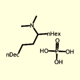 CCCCCCCCCCCCC(CCCCCC)N(C)C.O=P(O)(O)O